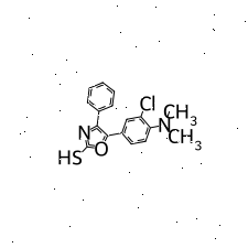 CN(C)c1ccc(-c2oc(S)nc2-c2ccccc2)cc1Cl